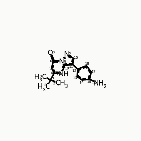 CC(C)(C)c1cc(=O)n2ncc(-c3ccc(N)cc3)c2[nH]1